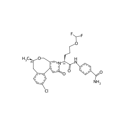 C[C@@H]1Cc2ccc(Cl)cc2-c2cc(=O)n([C@@H](CCCOC(F)F)C(=O)Nc3ccc(C(N)=O)cc3)cc2CO1